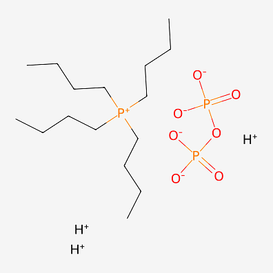 CCCC[P+](CCCC)(CCCC)CCCC.O=P([O-])([O-])OP(=O)([O-])[O-].[H+].[H+].[H+]